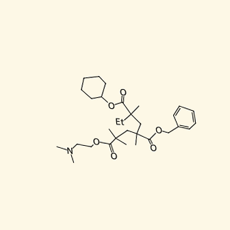 CCC(C)(CC(C)(CC(C)(C)C(=O)OCCN(C)C)C(=O)OCc1ccccc1)C(=O)OC1CCCCC1